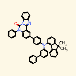 CC1(C)c2ccccc2-c2c(N(c3ccc(-c4ccc5c(c4)c4nc6ccccc6n4c(=O)n5-c4ccccc4)cc3)c3cccc(-c4ccccc4)c3)cccc21